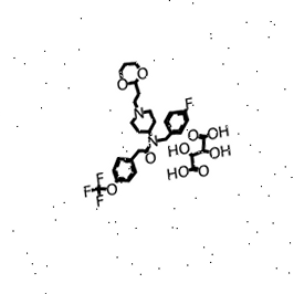 O=C(Cc1ccc(OC(F)(F)F)cc1)N(Cc1ccc(F)cc1)C1CCN(CCC2OCCCO2)CC1.O=C(O)C(O)C(O)C(=O)O